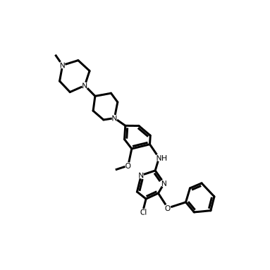 COc1cc(N2CCC(N3CCN(C)CC3)CC2)ccc1Nc1ncc(Cl)c(Oc2ccccc2)n1